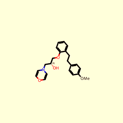 COc1ccc(CCc2ccccc2OC[C@H](O)CN2C=COC=C2)cc1